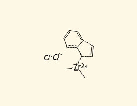 [CH3][Zr+2]([CH3])[CH]1C=Cc2ccccc21.[Cl-].[Cl-]